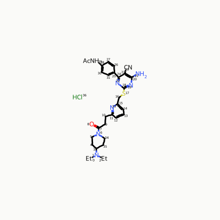 CCN(CC)C1CCN(C(=O)CCc2cccc(CSc3nc(N)c(C#N)c(-c4ccc(NC(C)=O)cc4)n3)n2)CC1.Cl